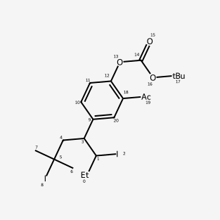 CCC(I)C(CC(C)(C)I)c1ccc(OC(=O)OC(C)(C)C)c(C(C)=O)c1